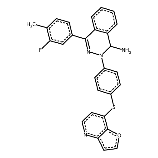 Cc1ccc(C2=NN(c3ccc(Sc4ccnc5ccoc45)cc3)C(N)c3ccccc32)cc1F